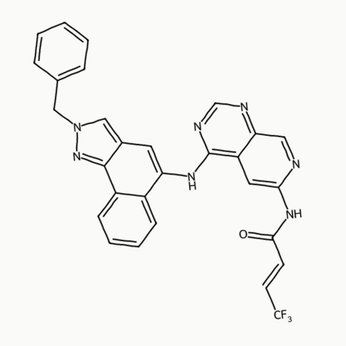 O=C(C=CC(F)(F)F)Nc1cc2c(Nc3cc4cn(Cc5ccccc5)nc4c4ccccc34)ncnc2cn1